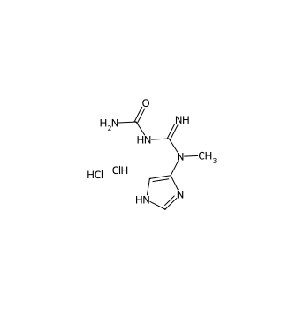 CN(C(=N)NC(N)=O)c1c[nH]cn1.Cl.Cl